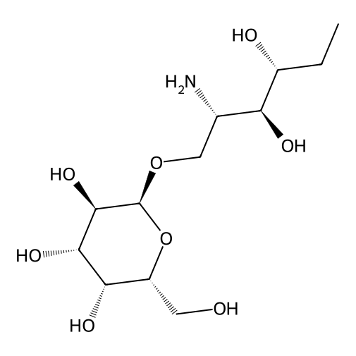 CC[C@@H](O)[C@@H](O)[C@@H](N)CO[C@H]1O[C@H](CO)[C@H](O)[C@H](O)[C@H]1O